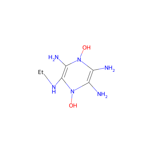 CCNC1=C(N)N(O)C(N)=C(N)N1O